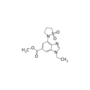 CCn1cnc2c(N3CCCS3(=O)=O)cc(C(=O)OC)cc21